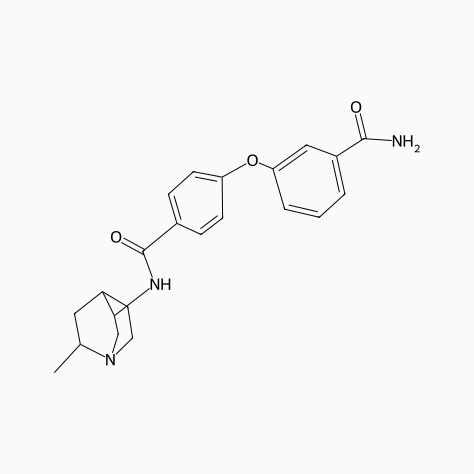 CC1CC2CCN1CC2NC(=O)c1ccc(Oc2cccc(C(N)=O)c2)cc1